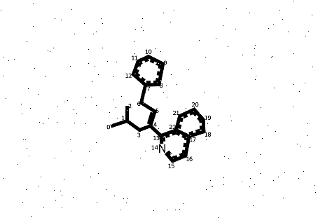 CC(C)CC(=CCc1ccccc1)c1nccc2ccccc12